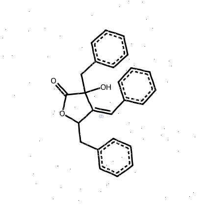 O=C1OC(Cc2ccccc2)/C(=C/c2ccccc2)C1(O)Cc1ccccc1